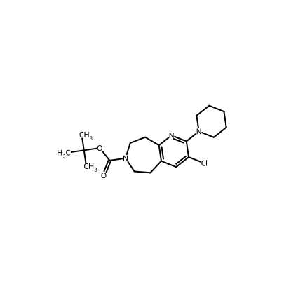 CC(C)(C)OC(=O)N1CCc2cc(Cl)c(N3CCCCC3)nc2CC1